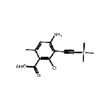 COC(=O)c1c(C)cc(N)c(C#C[Si](C)(C)C)c1Cl